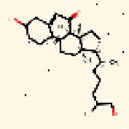 CC(CO)CCC[C@@H](C)[C@H]1CC[C@H]2[C@@H]3C(=O)C=C4CC(O)CC[C@]4(C)[C@H]3CC[C@]12C